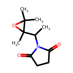 CC(N1C(=O)CCC1=O)C1(C)OC1(C)C